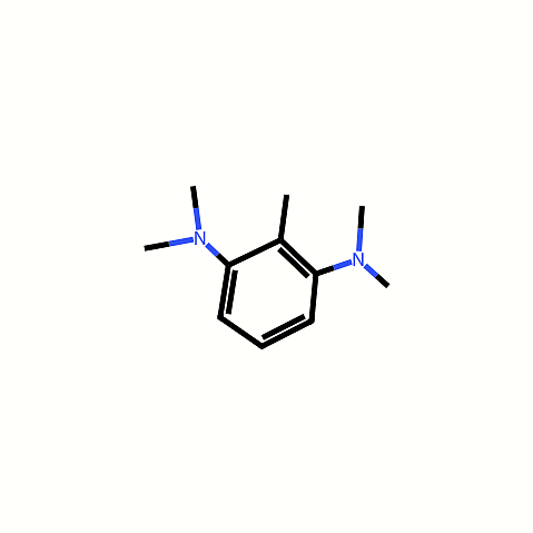 Cc1c(N(C)C)cccc1N(C)C